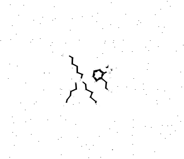 CC(C)CCCC[CH2][Sn+]([CH2]CCCCC(C)C)[CH2]CCCCC(C)C.CCCCCCCCCCCCc1ccccc1S(=O)(=O)[O-]